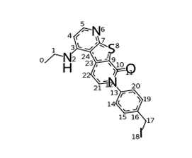 CCNc1ccnc2sc3c(=O)n(-c4ccc(CI)cc4)ccc3c12